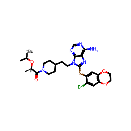 CC(O[C@H](C)C(=O)N1CCC(CCn2c(Sc3cc4c(cc3Br)OCCO4)nc3c(N)ncnc32)CC1)C(C)(C)C